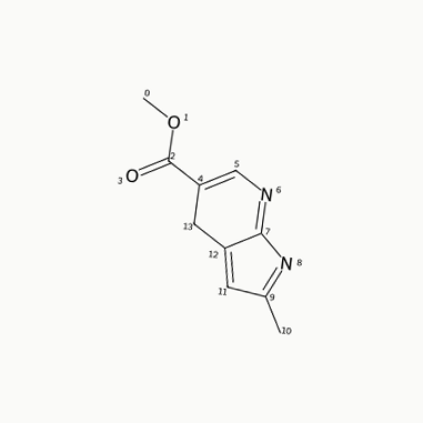 COC(=O)C1=CN=C2N=C(C)C=C2C1